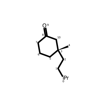 CC(C)CC[C@]1(C)CCCC(=O)C1